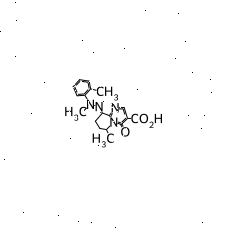 Cc1ccccc1N(C)N=C1CCC(C)n2c1ncc(C(=O)O)c2=O